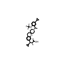 CC(c1cc(C2CC2)ccc1OC(F)(F)F)N1CCC2(CCc3ccc(C(C4CC4)[C@H](C)C(=O)O)cc3O2)CC1